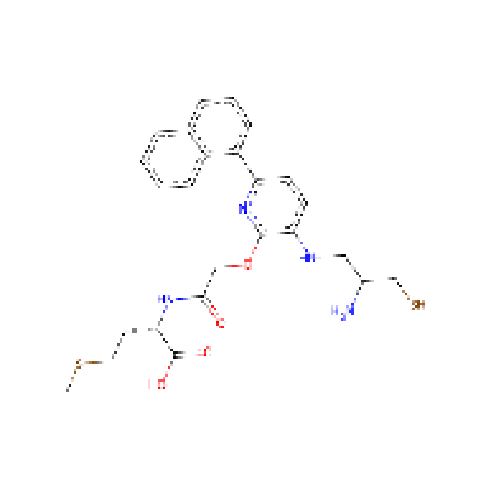 CSCC[C@H](NC(=O)COc1nc(-c2cccc3ccccc23)ccc1NCC(N)CS)C(=O)O